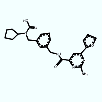 Nc1nc(C(=O)NCc2cccc(CN(C(=O)O)C3CCCC3)n2)cc(-c2ccco2)n1